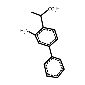 CC(C(=O)O)c1ccc(-c2ccccc2)cc1N